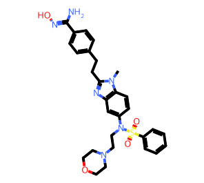 Cn1c(CCc2ccc(C(N)=NO)cc2)nc2cc(N(CCN3CCOCC3)S(=O)(=O)c3ccccc3)ccc21